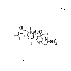 COC(C)c1c(NC(=O)Nc2cc(Cl)c(OC(F)F)nc2C)cnc2ccc(C)nc12